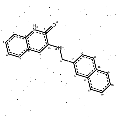 O=c1[nH]c2ccccc2cc1NCc1ccc2ccccc2c1